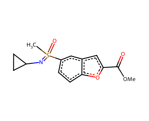 COC(=O)c1cc2cc(S(C)(=O)=NC3CC3)ccc2o1